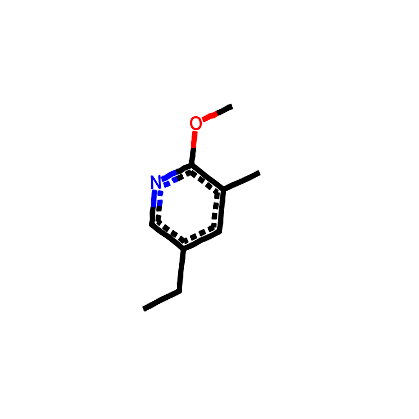 CCc1cnc(OC)c(C)c1